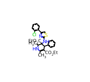 CCOC(=O)C1=C(C)NC(C)C(Nc2nc(-c3ccccc3Cl)cs2)(C(=O)OCC)C1c1ccccc1